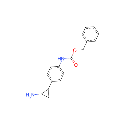 NC1CC1c1ccc(NC(=O)OCc2ccccc2)cc1